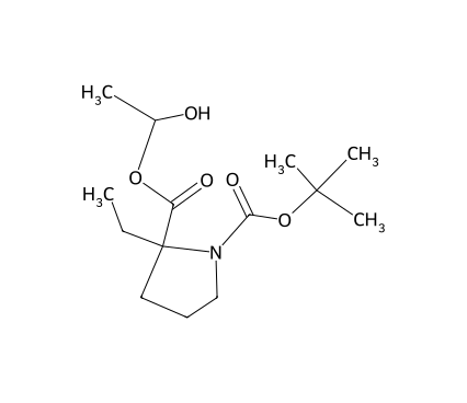 CCC1(C(=O)OC(C)O)CCCN1C(=O)OC(C)(C)C